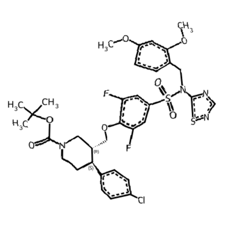 COc1ccc(CN(c2ncns2)S(=O)(=O)c2cc(F)c(OC[C@H]3CN(C(=O)OC(C)(C)C)CC[C@@H]3c3ccc(Cl)cc3)c(F)c2)c(OC)c1